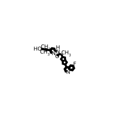 CC(C(=O)Nc1ccc(C#CC(C)(C)O)cn1)C1CC2CC(c3ccnc4ccc(F)cc34)CC2C1